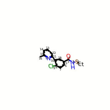 CCSNC(=O)c1ccc(Cl)c(-c2cccc(C)n2)c1